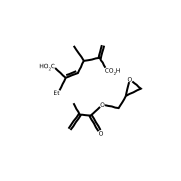 C=C(C(=O)O)C(C)C=C(CC)C(=O)O.C=C(C)C(=O)OCC1CO1